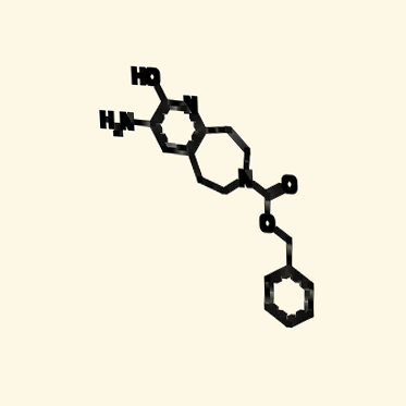 Nc1cc2c(nc1O)CCN(C(=O)OCc1ccccc1)CC2